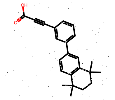 CC1(C)CCC(C)(C)c2cc(-c3cccc(C#CC(=O)O)c3)ccc21